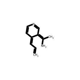 C=C/C=c1/ccnc/c1=C(\C)N